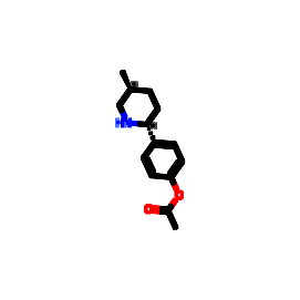 CC(=O)Oc1ccc([C@H]2CC[C@H](C)CN2)cc1